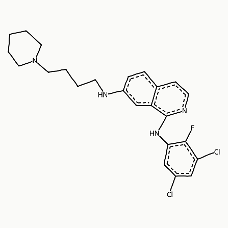 Fc1c(Cl)cc(Cl)cc1Nc1nccc2ccc(NCCCCN3CCCCC3)cc12